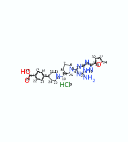 Cl.Nc1nc(N2CCC[C@@H](CN3CCC(c4ccc(C(=O)O)cc4)CC3)C2)nc2nc(-c3ccco3)nn12